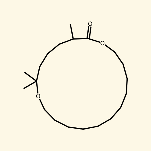 CC1CCCC(C)(C)OCCCCCCCCCCCOC1=O